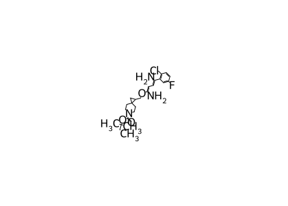 CCC(C)(C)OC(=O)N1CCC2(CC1)CC2CO/C(N)=C/C=C(\N)c1cc(F)ccc1Cl